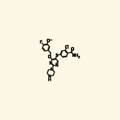 COc1cc(COc2nc(N3CCNCC3)ncc2Sc2ccc(C(N)=O)c(Cl)c2)ccc1F